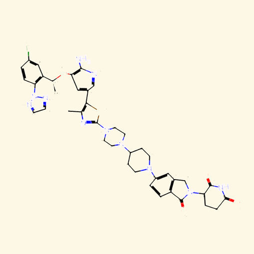 Cc1nc(N2CCN(C3CCN(c4ccc5c(c4)CN(C4CCC(=O)NC4=O)C5=O)CC3)CC2)sc1-c1cnc(N)c(O[C@@H](C)c2cc(F)ccc2-n2nccn2)c1